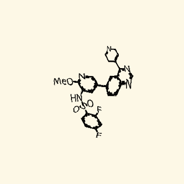 COc1ncc(-c2ccc3ncnc(C4=CCN=CC4)c3c2)cc1NS(=O)(=O)c1ccc(F)cc1F